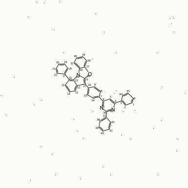 c1ccc(-c2cc(-c3ccc(-c4c5cccc(-c6ccccc6)c5n5c4oc4ccccc45)cc3)nc(-c3ccccc3)n2)cc1